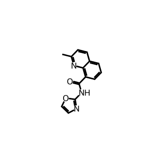 Cc1ccc2cccc(C(=O)Nc3ncco3)c2n1